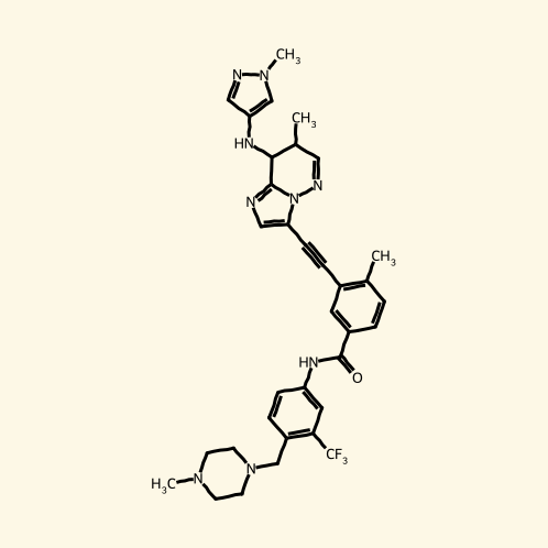 Cc1ccc(C(=O)Nc2ccc(CN3CCN(C)CC3)c(C(F)(F)F)c2)cc1C#Cc1cnc2n1N=CC(C)C2Nc1cnn(C)c1